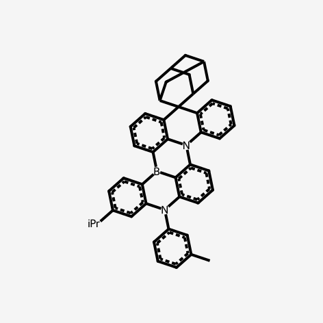 Cc1cccc(N2c3cc(C(C)C)ccc3B3c4cccc5c4N(c4ccccc4C54C5CC6CC(C5)CC4C6)c4cccc2c43)c1